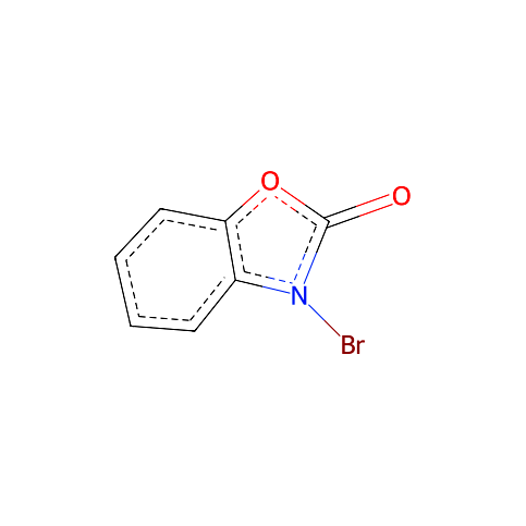 O=c1oc2ccccc2n1Br